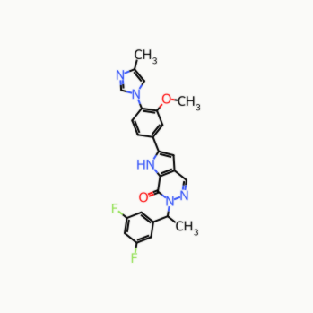 COc1cc(-c2cc3cnn(C(C)c4cc(F)cc(F)c4)c(=O)c3[nH]2)ccc1-n1cnc(C)c1